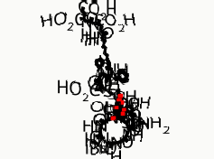 CC[C@H](C)[C@@H]1NC(=O)CNC(=O)C2Cc3c([nH]c4cc(OCCC(C)SSCC(NC(=O)[C@H](Cc5ccccc5)NC(=O)[C@H](Cc5ccccc5)NC(=O)CCCCCCCNC(=O)CCC(NC(=O)NC(CCC(=O)O)C(=O)O)C(=O)O)C(=O)O)ccc34)[S+]([O-])CC(NC(=O)CNC1=O)C(=O)N[C@@H](CC(N)=O)C(=O)N1C[C@H](O)CC1(C=O)N[C@@H]([C@@H](C)[C@@H](O)CO)C(=O)N2